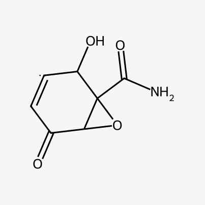 NC(=O)C12OC1C(=O)C=[C]C2O